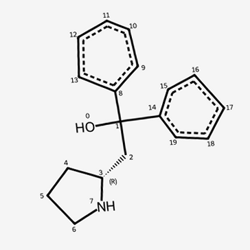 OC(C[C@H]1CCCN1)(c1ccccc1)c1ccccc1